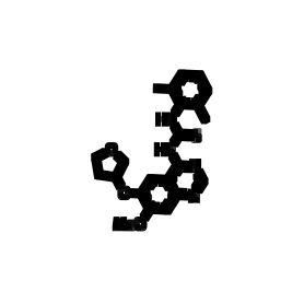 COc1cc2ncnc(NC(=S)Nc3c(C)cccc3C)c2cc1OC1CCOC1